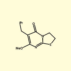 COc1nc2n(c(=O)c1CC(C)C)CCS2